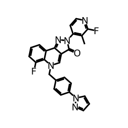 Cc1c(-n2nc3c4cccc(F)c4n(Cc4ccc(-n5cccn5)cc4)cc-3c2=O)ccnc1F